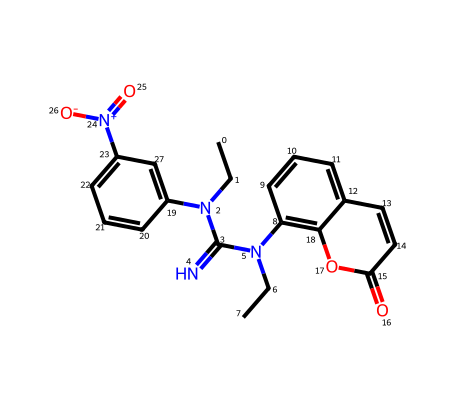 CCN(C(=N)N(CC)c1cccc2ccc(=O)oc12)c1cccc([N+](=O)[O-])c1